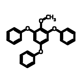 COc1c(Oc2ccccc2)cc(Oc2ccccc2)cc1Oc1ccccc1